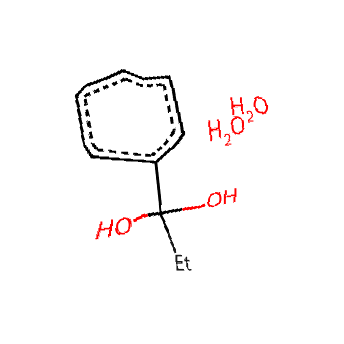 CCC(O)(O)c1ccccc1.O.O